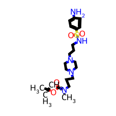 CN(CCCN1CCN(CCCNS(=O)(=O)c2ccc(N)cc2)CC1)C(=O)OC(C)(C)C